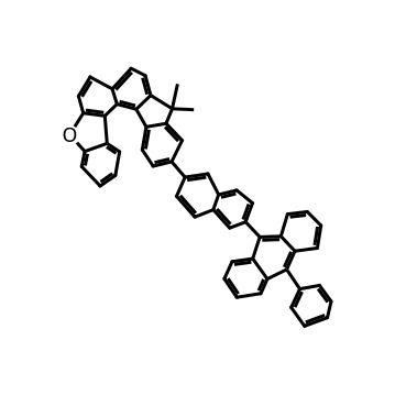 CC1(C)c2cc(-c3ccc4cc(-c5c6ccccc6c(-c6ccccc6)c6ccccc56)ccc4c3)ccc2-c2c1ccc1ccc3oc4ccccc4c3c21